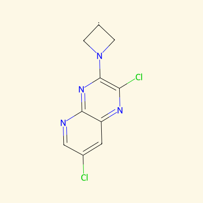 Clc1cnc2nc(N3C[CH]C3)c(Cl)nc2c1